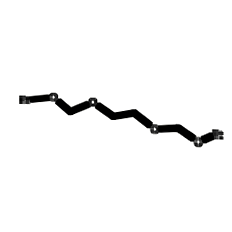 CCOCOCCOCOCC